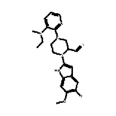 CCN(C)c1cccnc1N1CCN(c2cc3cc(F)c(OC)cc3[nH]2)C(C=O)C1